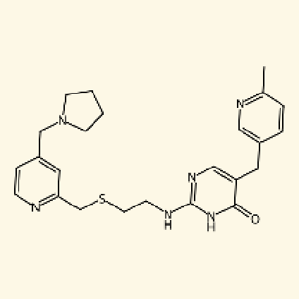 Cc1ccc(Cc2cnc(NCCSCc3cc(CN4CCCC4)ccn3)[nH]c2=O)cn1